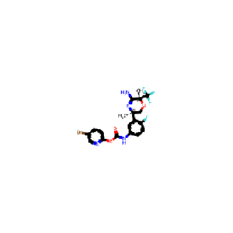 C[C@@]1(c2cc(NC(=O)Oc3ccc(Br)cn3)ccc2F)CO[C@@](C)(C(F)(F)F)C(N)=N1